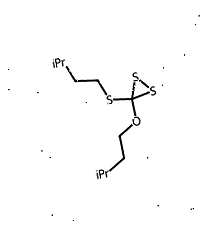 CC(C)CCOC1(SCCC(C)C)SS1